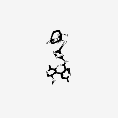 COc1cnc(C)c(F)c1-c1cc(C)ncc1C(=O)Nc1nnc(O[C@@H]2C[C@H]3CC[C@@H]2O3)s1